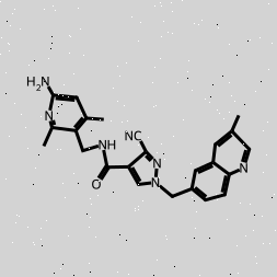 Cc1cnc2ccc(Cn3cc(C(=O)NCc4c(C)cc(N)nc4C)c(C#N)n3)cc2c1